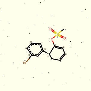 CS(=O)(=O)OC1=CC=CC[C@H]1c1cccc(Br)c1